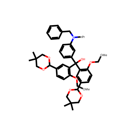 CCCN(Cc1ccccc1)c1cccc(C(O)(c2cc(C3OCC(C)(C)CO3)ccc2OCOC)c2cc(C3OCC(C)(C)CO3)ccc2OCOC)c1